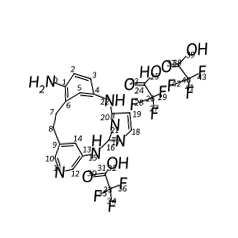 Nc1ccc2cc1CCc1cncc(c1)Nc1nccc(n1)N2.O=C(O)C(F)(F)F.O=C(O)C(F)(F)F.O=C(O)C(F)(F)F